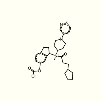 C[N+](C(=O)CCC1CCCC1)(C1CCN(c2ccnnc2)CC1)C1CCc2ccc(OC(=O)O)cc21